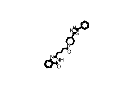 O=C(CCCc1nc2ccccc2c(=O)[nH]1)N1CCC(c2nnc(-c3ccccc3)s2)CC1